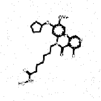 COc1ccc(N(CCCCCCC(=O)NO)C(=O)c2c(Cl)cncc2Cl)cc1OC1CCCC1